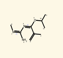 C=C(C)/C(=N\C(N)=N/C)OC(C)C